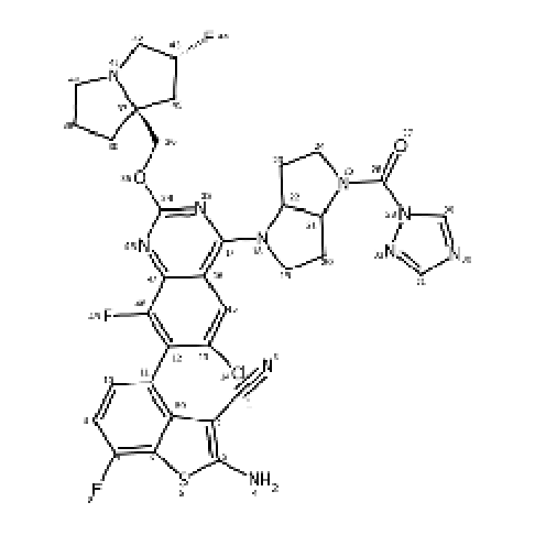 N#Cc1c(N)sc2c(F)ccc(-c3c(Cl)cc4c(N5CCC6C5CCN6C(=O)n5cncn5)nc(OC[C@@]56CCCN5C[C@H](F)C6)nc4c3F)c12